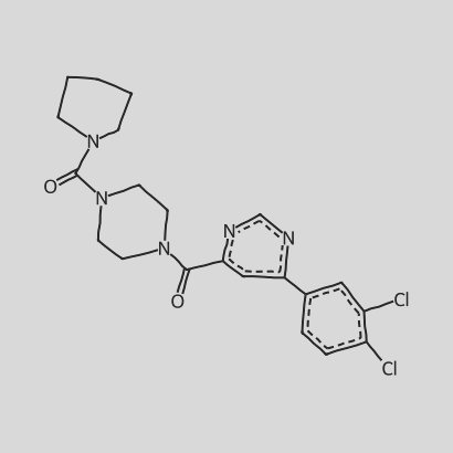 O=C(c1cc(-c2ccc(Cl)c(Cl)c2)ncn1)N1CCN(C(=O)N2CCCCC2)CC1